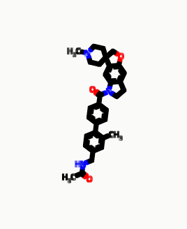 CC(=O)NCc1ccc(-c2ccc(C(=O)N3CCc4cc5c(cc43)C3(CCN(C)CC3)CO5)cc2)c(C)c1